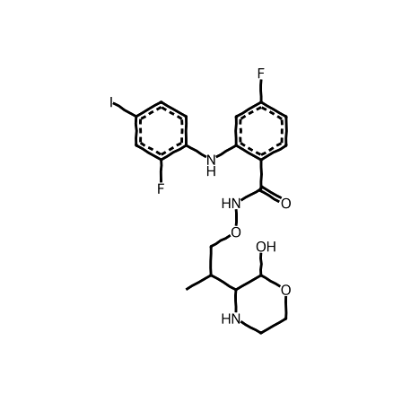 CC(CONC(=O)c1ccc(F)cc1Nc1ccc(I)cc1F)C1NCCOC1O